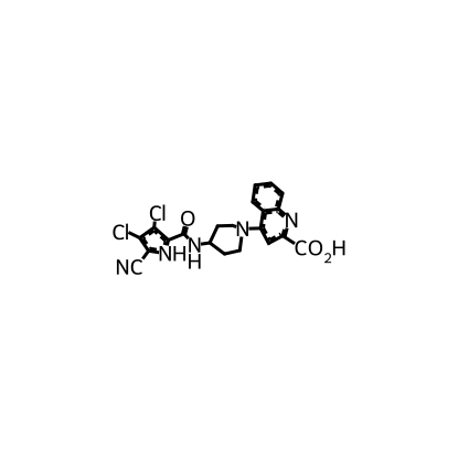 N#Cc1[nH]c(C(=O)NC2CCN(c3cc(C(=O)O)nc4ccccc34)CC2)c(Cl)c1Cl